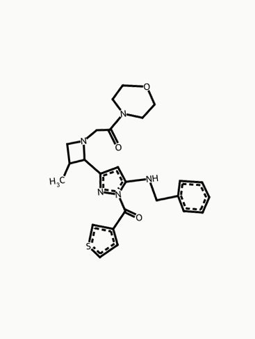 CC1CN(CC(=O)N2CCOCC2)C1c1cc(NCc2ccccc2)n(C(=O)c2ccsc2)n1